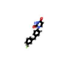 O=c1ccn(-c2ccc(Cc3cccc(F)c3)cc2)c(=O)[nH]1